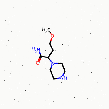 COCCC(C(N)=O)N1CCNCC1